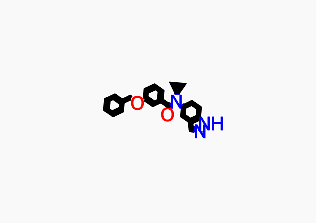 O=C(c1cccc(OCc2ccccc2)c1)N(C1CC1)C1CCc2[nH]ncc2C1